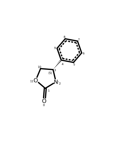 O=C1[N][C@@H](c2ccccc2)CO1